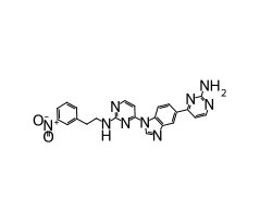 Nc1nccc(-c2ccc3c(c2)ncn3-c2ccnc(NCCc3cccc([N+](=O)[O-])c3)n2)n1